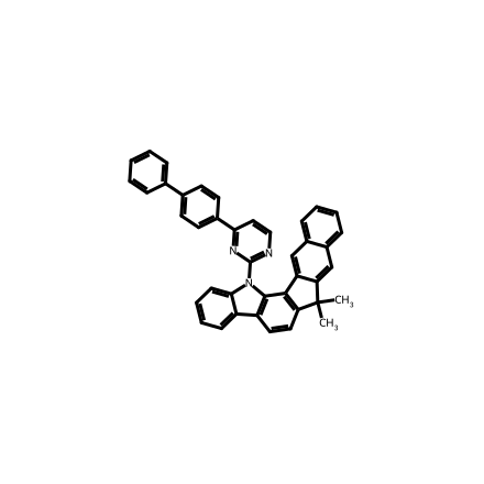 CC1(C)c2cc3ccccc3cc2-c2c1ccc1c3ccccc3n(-c3nccc(-c4ccc(-c5ccccc5)cc4)n3)c21